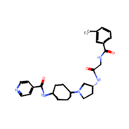 O=C(CNC(=O)c1cccc(C(F)(F)F)c1)N[C@@H]1CCN(C2CCC(NC(=O)c3ccncc3)CC2)C1